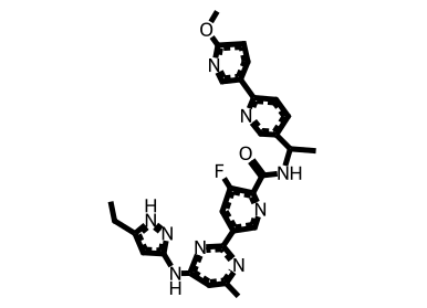 CCc1cc(Nc2cc(C)nc(-c3cnc(C(=O)NC(C)c4ccc(-c5ccc(OC)nc5)nc4)c(F)c3)n2)n[nH]1